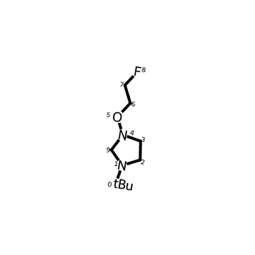 CC(C)(C)N1CCN(OCCF)C1